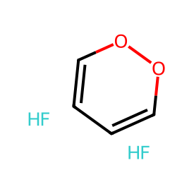 C1=COOC=C1.F.F